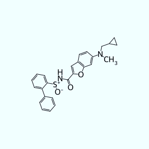 CN(CC1CC1)c1ccc2cc(C(=O)N[S+]([O-])c3ccccc3-c3ccccc3)oc2c1